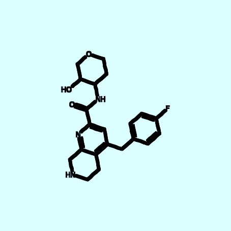 O=C(NC1CCOCC1O)c1cc(Cc2ccc(F)cc2)c2c(n1)CNCC2